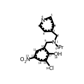 CC(C)N(Cc1ccncc1)Cc1cc([N+](=O)[O-])cc(Cl)c1O